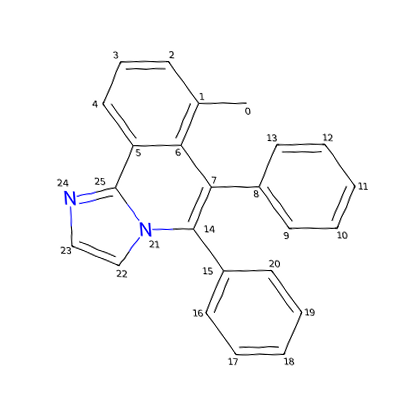 Cc1cccc2c1c(-c1ccccc1)c(-c1ccccc1)n1ccnc21